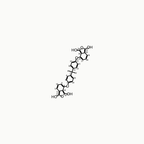 CC(C)(c1ccc(Oc2cccc3c(O)oc(O)c23)cc1)c1ccc(Oc2cccc3c(O)oc(O)c23)cc1